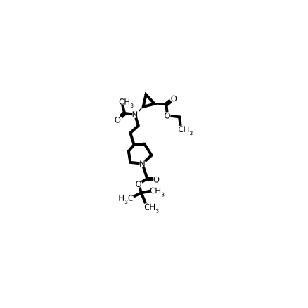 CCOC(=O)[C@@H]1C[C@H]1N(CCC1CCN(C(=O)OC(C)(C)C)CC1)C(C)=O